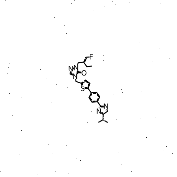 CC/C(=C\F)Cn1ncn(Cc2ccc(-c3ccc(C4=NCC(C(C)C)=N4)cc3)s2)c1=O